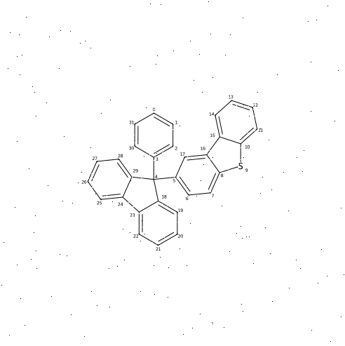 c1ccc(C2(c3ccc4sc5ccccc5c4c3)c3ccccc3-c3ccccc32)cc1